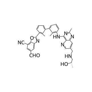 Cc1nc(Nc2cccc(-c3cccc(-c4nc5cc(C=O)cc(C#N)c5o4)c3C)c2C)c2ncc(CNC[C@H](C)O)cc2n1